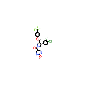 COc1ncc(C(=O)N2C[C@@H]([C@@H](C)Oc3ccc(C(F)(F)F)cc3)[C@H](c3ccc(Cl)c(Cl)c3)C2)cn1